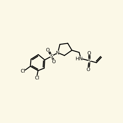 C=CS(=O)(=O)NCC1CCN(S(=O)(=O)c2ccc(Cl)c(Cl)c2)C1